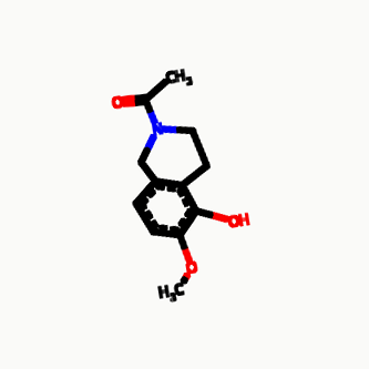 COc1ccc2c(c1O)CCN(C(C)=O)C2